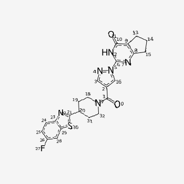 O=C(c1cnn(-c2nc3c(c(=O)[nH]2)CCC3)c1)N1CCC(c2nc3ccc(F)cc3s2)CC1